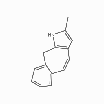 Cc1cc2c([nH]1)Cc1ccccc1C=C2